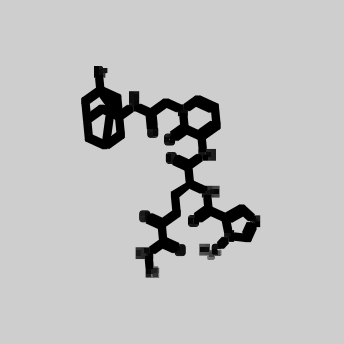 CCNC(=O)C(=O)CC[C@H](NC(=O)c1cncn1C)C(=O)Nc1cccn(CC(=O)NC23CC4CC(CC(Br)(C4)C2)C3)c1=O